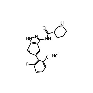 Cl.O=C(Nc1n[nH]c2ccc(-c3c(F)cccc3Cl)cc12)[C@@H]1CCCNC1